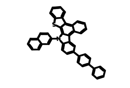 c1ccc(-c2ccc(-c3ccc4c(c3)c3c5ccccc5c5c6ccccc6sc5c3n4-c3ccc4ccccc4c3)cc2)cc1